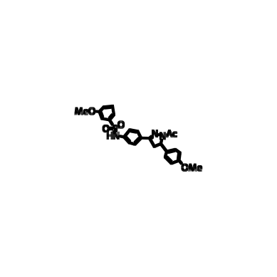 COc1ccc(C2CC(c3ccc(NS(=O)(=O)c4cccc(OC)c4)cc3)=NN2C(C)=O)cc1